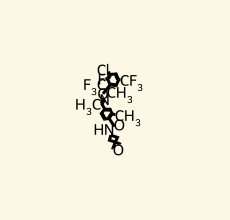 C/C(=N\OC(C)(c1cc(C(F)(F)F)cc(Cl)c1F)C(F)(F)F)c1ccc(C(=O)NC2CC3(COC3)C2)c(C)c1